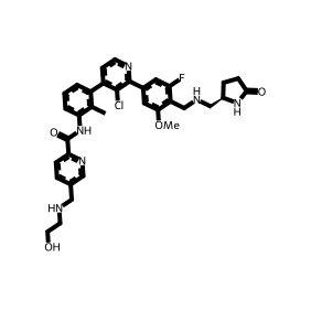 COc1cc(-c2nccc(-c3cccc(NC(=O)c4ccc(CNCCO)cn4)c3C)c2Cl)cc(F)c1CNC[C@H]1CCC(=O)N1